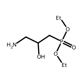 CCOP(=O)(CC(O)CN)OCC